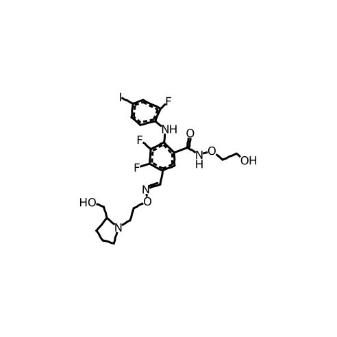 O=C(NOCCO)c1cc(C=NOCCN2CCCC2CO)c(F)c(F)c1Nc1ccc(I)cc1F